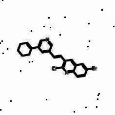 Clc1nc2ccc(Br)cc2cc1/C=C/c1cncc(C2=CCCCC2)c1